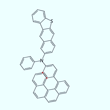 c1ccc(N(c2ccc(-c3cccc4ccc5ccc6ccccc6c5c34)cc2)c2ccc3cc4sc5ccccc5c4cc3c2)cc1